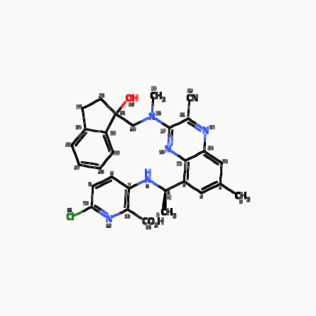 Cc1cc([C@@H](C)Nc2ccc(Cl)nc2C(=O)O)c2nc(N(C)CC3(O)CCc4ccccc43)c(C#N)nc2c1